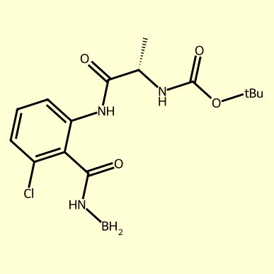 BNC(=O)c1c(Cl)cccc1NC(=O)[C@H](C)NC(=O)OC(C)(C)C